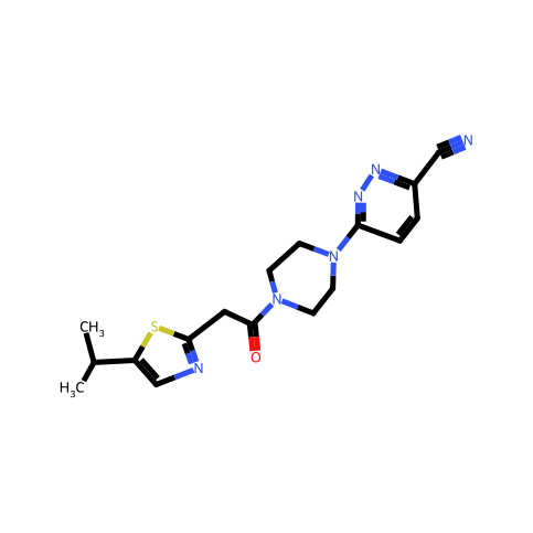 CC(C)c1cnc(CC(=O)N2CCN(c3ccc(C#N)nn3)CC2)s1